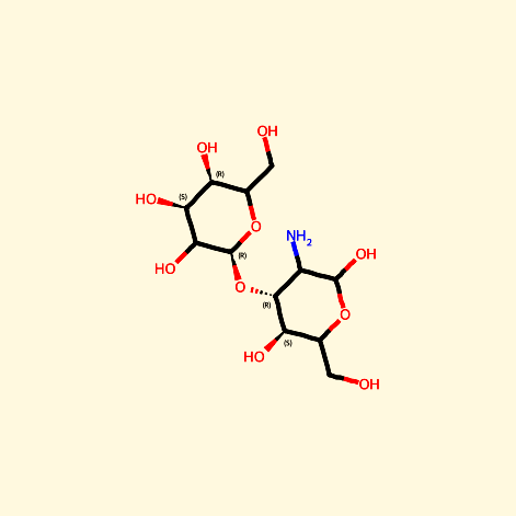 NC1C(O)OC(CO)[C@@H](O)[C@@H]1O[C@@H]1OC(CO)[C@H](O)[C@H](O)C1O